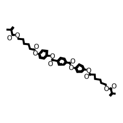 C=C(C)C(=O)OCCCCCC(=O)Oc1ccc(OC(=O)c2ccc(C(=O)Oc3ccc(OC(=O)CCCCCOC(=O)C(=C)C)cc3)cc2)cc1